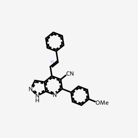 COc1ccc(-c2nc3[nH]ncc3c(/C=C/c3ccccc3)c2C#N)cc1